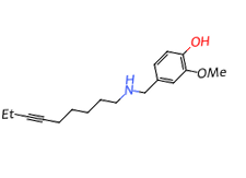 CCC#CCCCCCNCc1ccc(O)c(OC)c1